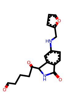 O=CCCCC(=O)C1NC(=O)c2ccc(NCc3ccco3)cc21